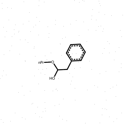 CCCOC(O)Cc1ccccc1